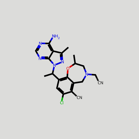 Cc1nn(C(C)c2cc(Cl)c(C#N)c3c2OC(C)CN(CC#N)C3)c2ncnc(N)c12